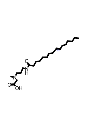 CCCCCC/C=C/CCCCCCCC(=O)NCCCN(C)CC(=O)O